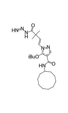 CC(C)COc1c(C(=O)NC2CCCCCCCCC2)cnn1/C=C/C(C)(C)C(=O)NN=N